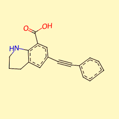 O=C(O)c1cc(C#Cc2ccccc2)cc2c1NCCC2